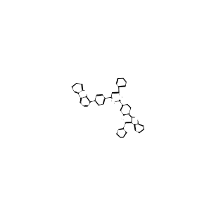 c1ccc(-c2cc(-c3ccc(-c4cccc5c4oc4ccccc45)cc3)nc(-c3ccc4c(c3)nc(-c3ccccc3)c3c5ccccc5sc43)n2)cc1